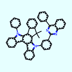 CC1(C)c2ccccc2-c2c1c1c(c3ccccc3n1-c1cccc(-c3nc(-c4ccccc4)c4ccccc4n3)c1)c1c3ccccc3n(-c3ccccc3)c21